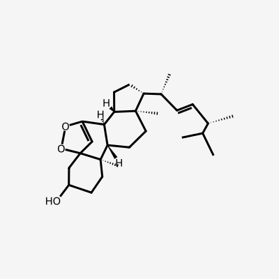 CC(C)[C@@H](C)C=C[C@@H](C)[C@H]1CC[C@H]2[C@@H]3C4=CC5(CC(O)CC[C@]5(C)[C@H]3CC[C@]12C)OO4